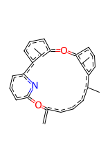 C=c1cccc(C)c2cccc(oc3cccc(c3C)c3cccc(n3)o1)c2C